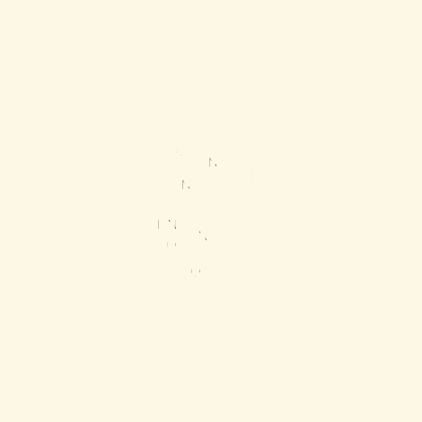 O=c1nc(-c2cc(C(F)(F)F)nc(C(F)(F)F)n2)[nH]o1